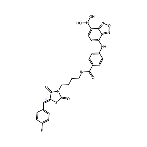 O=C(NCCCCN1C(=O)S/C(=C\c2ccc(F)cc2)C1=O)c1ccc(Nc2ccc(N(O)O)c3nonc23)cc1